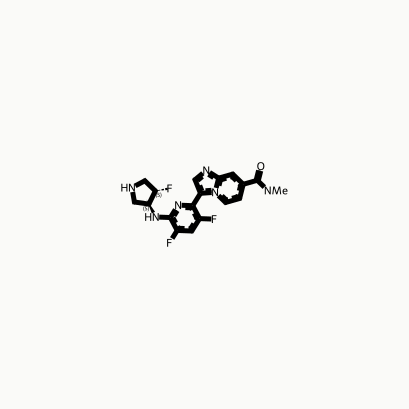 CNC(=O)c1ccn2c(-c3nc(N[C@H]4CNC[C@@H]4F)c(F)cc3F)cnc2c1